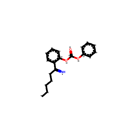 CCCCCC(=N)c1ccccc1OC(=O)Oc1ccccc1